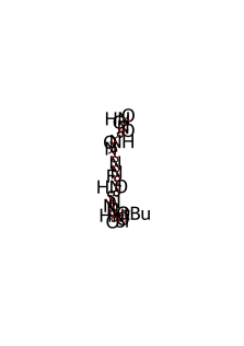 C=[Si]=C1[C@@]2(C)OCC3(CCN(c4cnc(Sc5cccc(NC(=O)c6ccc(N7CCC(N8CC=C(c9ccc(C(=O)NCc%10ccc%11c(c%10)CN(C%10CCC(=O)NC%10=O)C%11=O)nc9C)CC8)CC7)c(F)c6)c5)cn4)CC3)[C@@]12NC(=O)OC(C)(C)C